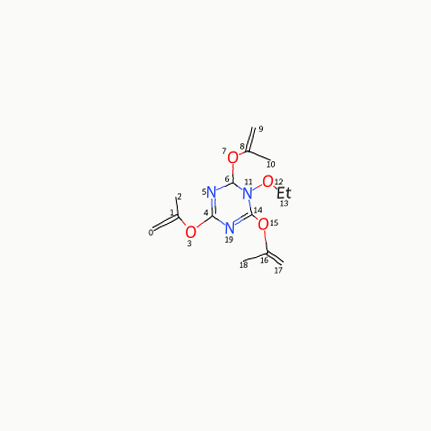 C=C(C)OC1=NC(OC(=C)C)N(OCC)C(OC(=C)C)=N1